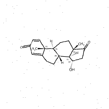 C[C@]12C=CC(=O)C=C1CC[C@H]1[C@@H]3[C@@H](O)CC(=O)[C@@]3(C)CC[C@@H]12